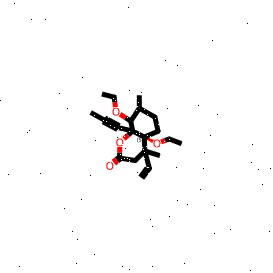 C=CC1(C)CC(=O)OC2(C#CC)C(OCC)C(C)CC[C@]12OCC